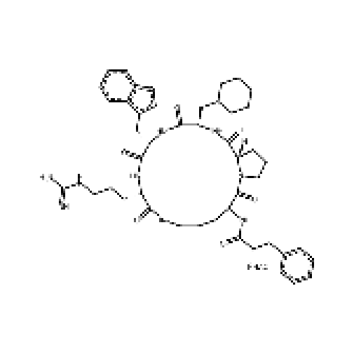 CC(=O)N[C@@H](Cc1ccccc1)C(=O)NC1CCCNC(=O)[C@H](CCCNC(=N)N)NC(=O)[C@H](Cc2csc3ccccc23)NC(=O)[C@@H](CC2CCCCC2)NC(=O)[C@@H]2CCCN2C1=O